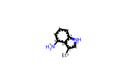 CCc1c[nH]c2cccc(N)c12